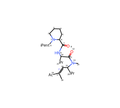 CCCC(C)N1CCCCC1C(=O)NC(C(=O)N(C)C(/C=C(\C)C(C)=O)C(C)C)C(C)C